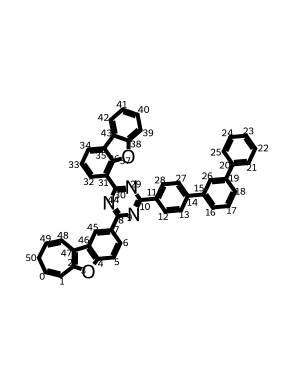 C1=Cc2oc3ccc(-c4nc(-c5ccc(-c6cccc(-c7ccccc7)c6)cc5)nc(-c5cccc6c5oc5ccccc56)n4)cc3c2C=CC1